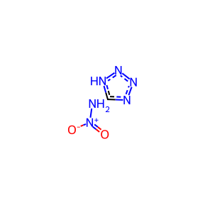 N[N+](=O)[O-].c1nnn[nH]1